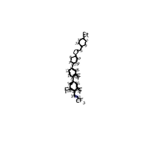 CCC1CCC(COC2CCC(c3ccc(-c4cc(F)c(/C=C/C(F)(F)F)c(F)c4)c(F)c3)CC2)CC1